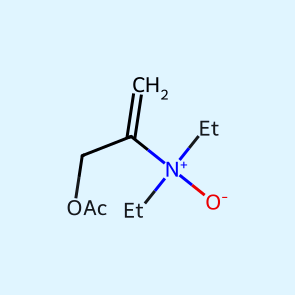 C=C(COC(C)=O)[N+]([O-])(CC)CC